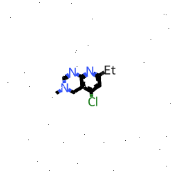 CCc1cc(Cl)c2c(n1)N=CN(C)C2